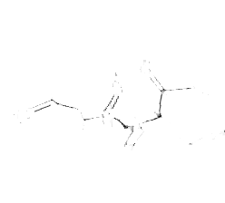 C=CC[PH](=O)N[C@@H](CO)C(=O)O